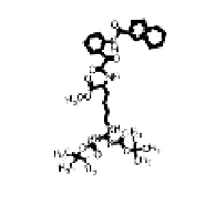 COC(=O)C(CCCCN/C(=N\C(=O)OC(C)(C)C)NC(=O)OC(C)(C)C)NC(=O)C(=O)c1ccccc1NC(=O)c1ccc2ccccc2c1